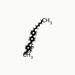 CCCCCCCCc1ccc(-c2ccc(CCc3ccc(CCC)c(F)c3F)cc2)cc1